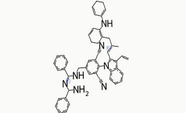 C=Cc1c(/C=C(\C)CC2=C(NC3=CCCC=C3)C=CCC2)n(-c2c(C#N)cc(CN/C(=N\C(N)c3ccccc3)c3ccccc3)cc2C#N)c2ccccc12